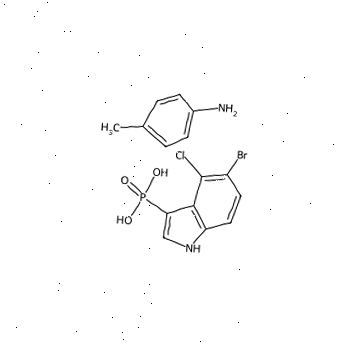 Cc1ccc(N)cc1.O=P(O)(O)c1c[nH]c2ccc(Br)c(Cl)c12